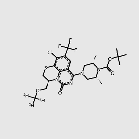 [2H]C([2H])([2H])OC[C@H]1CSc2c(Cl)c(C(F)(F)F)cc3c(N4C[C@@H](C)N(C(=O)OC(C)(C)C)[C@@H](C)C4)nc(=O)n1c23